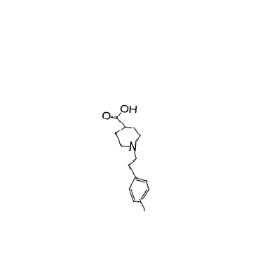 Cc1ccc(CCN2CCC(C(=O)O)CC2)cc1